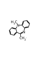 [CH2]C1=Nc2ccccc2N(C)c2ccccc21